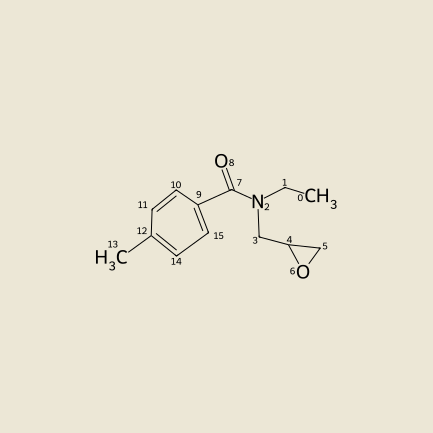 CCN(CC1CO1)C(=O)c1ccc(C)cc1